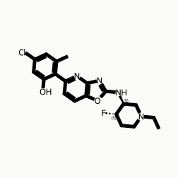 CCN1CC[C@H](F)[C@@H](Nc2nc3nc(-c4c(C)cc(Cl)cc4O)ccc3o2)C1